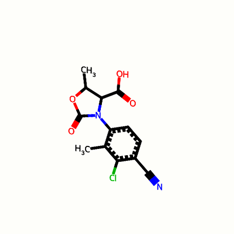 Cc1c(N2C(=O)OC(C)C2C(=O)O)ccc(C#N)c1Cl